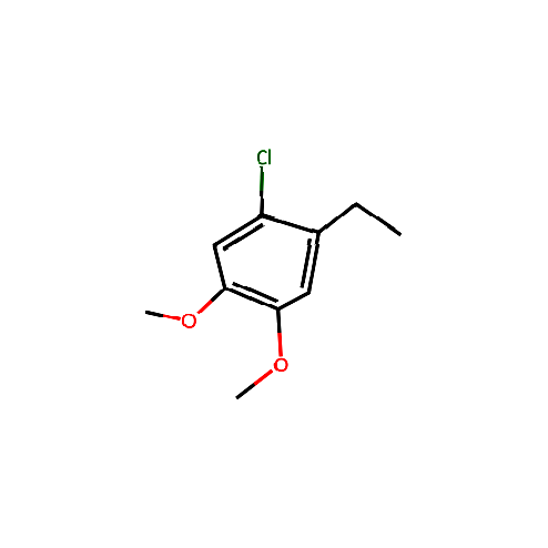 CCc1cc(OC)c(OC)cc1Cl